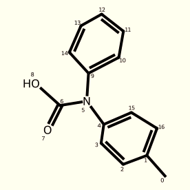 Cc1ccc(N(C(=O)O)c2ccccc2)cc1